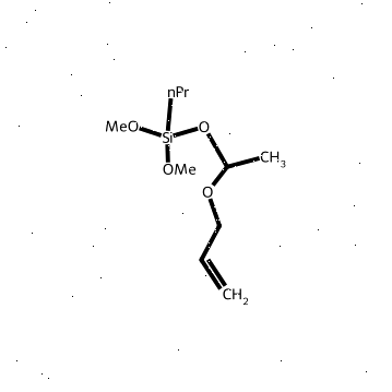 C=CCOC(C)O[Si](CCC)(OC)OC